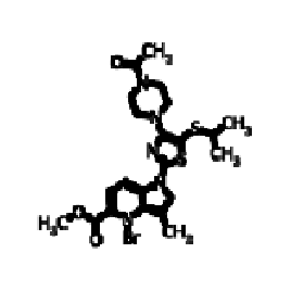 COC(=O)C1=CC=C2C(=C(C)CN2c2nc(N3CCN(C(C)=O)CC3)c(SC(C)C)s2)N1Br